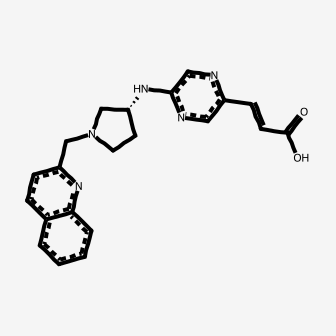 O=C(O)C=Cc1cnc(N[C@@H]2CCN(Cc3ccc4ccccc4n3)C2)cn1